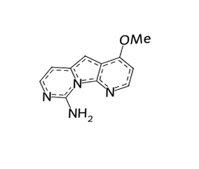 COc1ccnc2c1cc1ccnc(N)n12